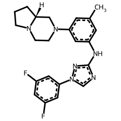 Cc1cc(Nc2ncn(-c3cc(F)cc(F)c3)n2)cc(N2CCN3CCC[C@@H]3C2)c1